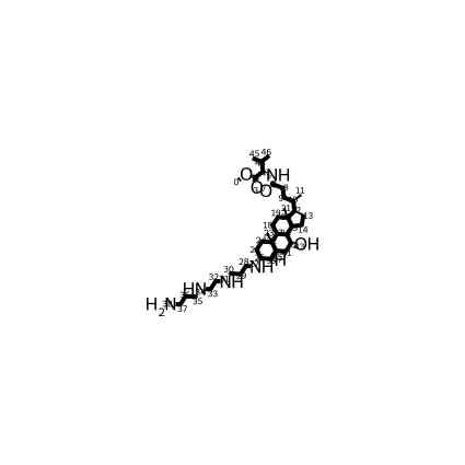 COC(=O)[C@@H](NC(=O)CC[C@@H](C)[C@H]1CCC2C3C(CC[C@@]21C)[C@@]1(C)CC[C@H](NCCCNCCNCCCN)C[C@H]1C[C@H]3O)C(C)C